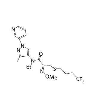 CCN(C(=O)C(CSCCCC(F)(F)F)=NOC)c1cn(-c2cccnc2)nc1C